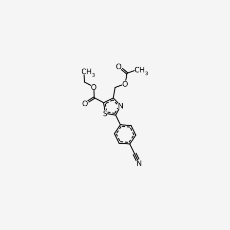 CCOC(=O)c1sc(-c2ccc(C#N)cc2)nc1COC(C)=O